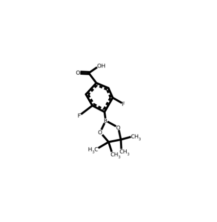 CC1(C)OB(c2c(F)cc(C(=O)O)cc2F)OC1(C)C